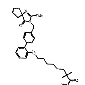 CCCCC1=NC2(CCCC2)C(=O)N1Cc1ccc(-c2ccccc2OCCCCCCC(C)(C)C(=O)OC)cc1